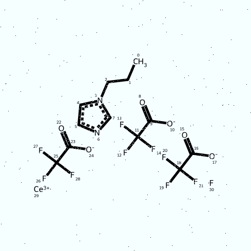 CCCn1ccnc1.O=C([O-])C(F)(F)F.O=C([O-])C(F)(F)F.O=C([O-])C(F)(F)F.[Ce+3].[F]